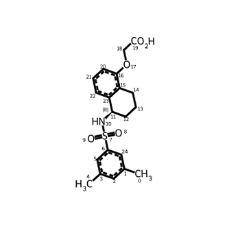 Cc1cc(C)cc(S(=O)(=O)N[C@@H]2CCCc3c(OCC(=O)O)cccc32)c1